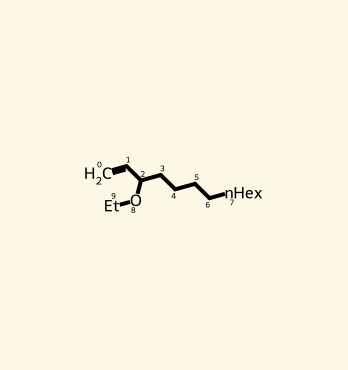 C=CC(CCCCCCCCCC)OCC